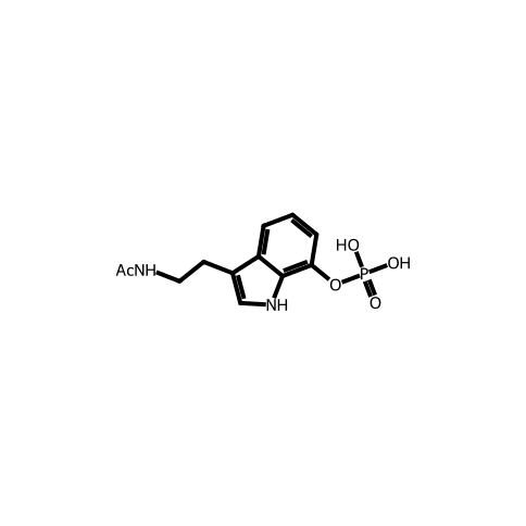 CC(=O)NCCc1c[nH]c2c(OP(=O)(O)O)cccc12